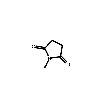 [CH2]N1C(=O)CCC1=O